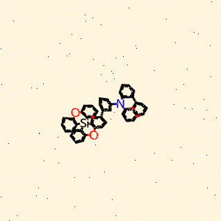 c1ccc(-c2ccccc2N(c2ccccc2)c2cccc(-c3ccc4c(c3)[Si]3(c5ccccc5Oc5ccccc53)c3ccccc3O4)c2)cc1